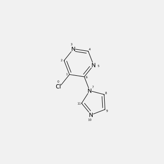 Clc1cncnc1-n1ccnc1